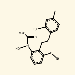 CCOc1cccc(N(O)C(=O)OC)c1COc1ccc(C)cc1C(F)(F)F